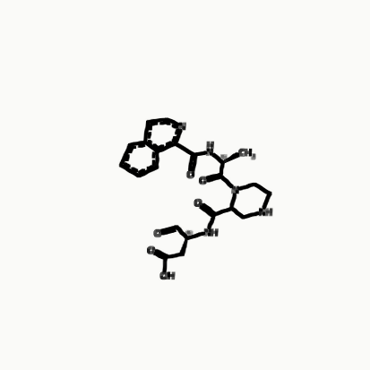 C[C@H](NC(=O)c1nccc2ccccc12)C(=O)N1CCNCC1C(=O)N[C@H](C=O)CC(=O)O